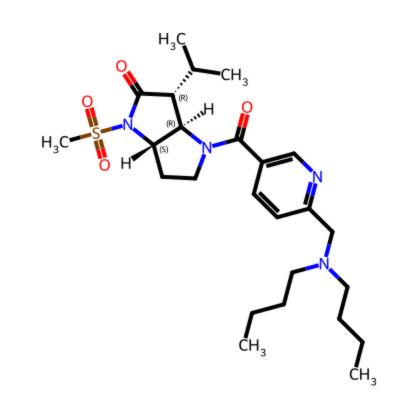 CCCCN(CCCC)Cc1ccc(C(=O)N2CC[C@H]3[C@H]2[C@@H](C(C)C)C(=O)N3S(C)(=O)=O)cn1